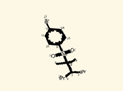 CC(C)C(C(C)C)C(C)(C)S(=O)(=O)c1ccc(Br)cc1